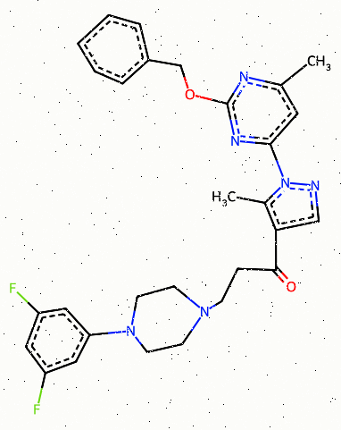 Cc1cc(-n2ncc(C(=O)CCN3CCN(c4cc(F)cc(F)c4)CC3)c2C)nc(OCc2ccccc2)n1